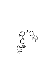 CC(C)(C)OC(=O)NC1CCN(c2cc(Oc3ccc(OC(F)(F)F)cc3)ccn2)CC1